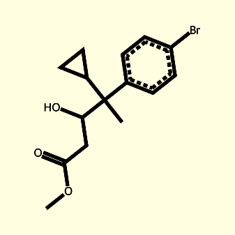 COC(=O)CC(O)C(C)(c1ccc(Br)cc1)C1CC1